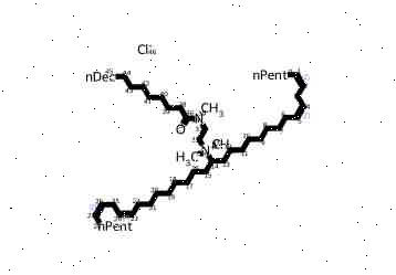 CCCCC/C=C\C/C=C\CCCCCCCCC(CCCCCCCC/C=C\C/C=C\CCCCC)[N+](C)(C)CCN(C)C(=O)CCCCCCCCCCCCCCCCC.[Cl-]